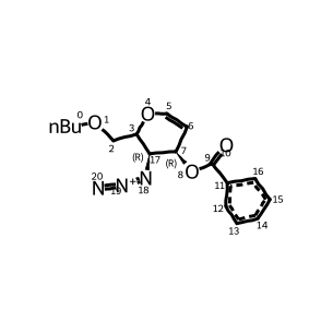 CCCCOCC1OC=C[C@@H](OC(=O)c2ccccc2)[C@H]1N=[N+]=[N-]